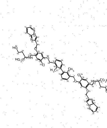 Cc1c(COc2cc(OCc3cn4ncccc4n3)c(CNC(CCO)C(=O)O)cc2Cl)cccc1-c1cccc(COc2cc(OCc3cn4ncccc4n3)c(CNC(CCO)C(=O)O)cc2Cl)c1C